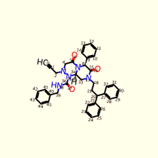 C#CCN1CC(=O)N2[C@@H](c3ccccc3)C(=O)N(CCC(c3ccccc3)c3ccccc3)C[C@@H]2N1C(=O)NCc1ccccc1